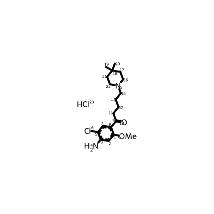 COc1cc(N)c(Cl)cc1C(=O)CCCCN1CCC(C)(C)CC1.Cl